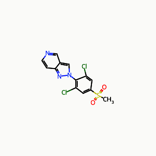 CS(=O)(=O)c1cc(Cl)c(-n2cc3cnccc3n2)c(Cl)c1